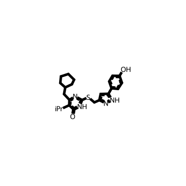 CC(C)c1c(CC2CCCCC2)nc(SCc2cc(-c3ccc(O)cc3)[nH]n2)[nH]c1=O